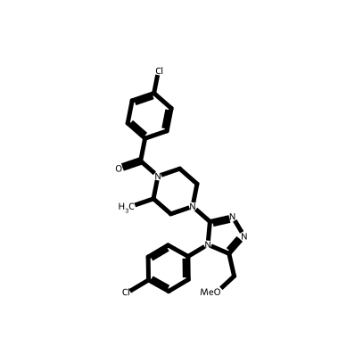 COCc1nnc(N2CCN(C(=O)c3ccc(Cl)cc3)C(C)C2)n1-c1ccc(Cl)cc1